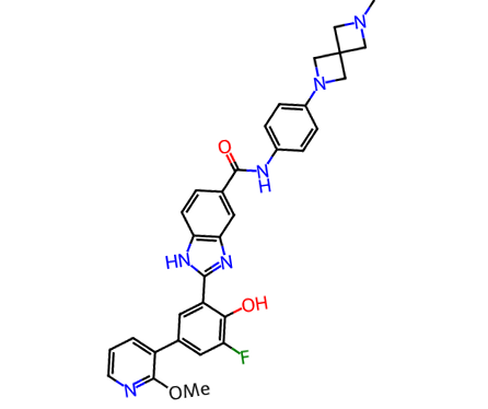 COc1ncccc1-c1cc(F)c(O)c(-c2nc3cc(C(=O)Nc4ccc(N5CC6(CN(C)C6)C5)cc4)ccc3[nH]2)c1